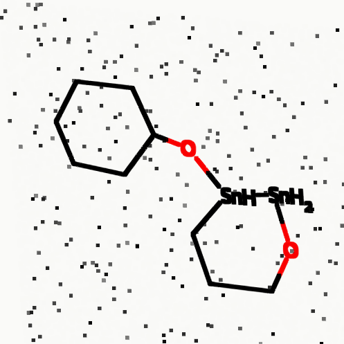 C1CCC([O][SnH]2[CH2]CC[O][SnH2]2)CC1